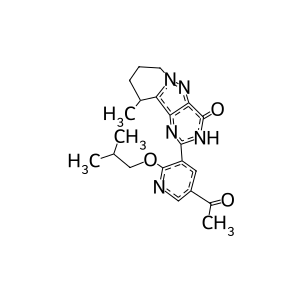 CC(=O)c1cnc(OCC(C)C)c(-c2nc3c4n(nc3c(=O)[nH]2)CCCC4C)c1